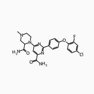 CN1CCN(c2cc(C(N)=O)nc(-c3ccc(Oc4ccc(Cl)cc4F)cc3)n2)C(C(N)=O)C1